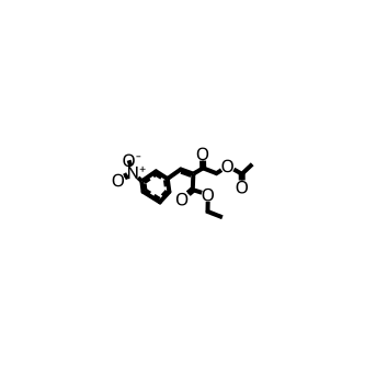 CCOC(=O)C(=Cc1cccc([N+](=O)[O-])c1)C(=O)COC(C)=O